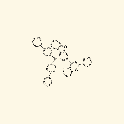 c1ccc(-c2ccc(N(c3ccc(-c4ccccc4)cc3)c3cc(-c4cc(-c5ccccc5)nc5ccccc45)cc4oc5ccccc5c34)cc2)cc1